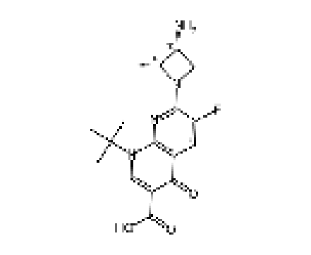 C[C@@H]1[C@@H](N)CN1c1nc2c(cc1F)c(=O)c(C(=O)O)cn2C(C)(C)C